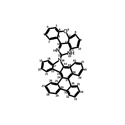 c1ccc2c(c1)Oc1cccc3c1C2=NC(n1c2ccccc2c2c4c5ccccc5c5ccccc5c4c4ccccc4c21)N3